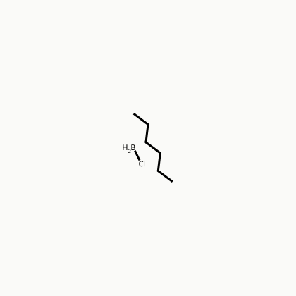 BCl.CCCCCC